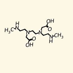 CNCCN(CCN(CCNC)CC(=O)O)CC(=O)O